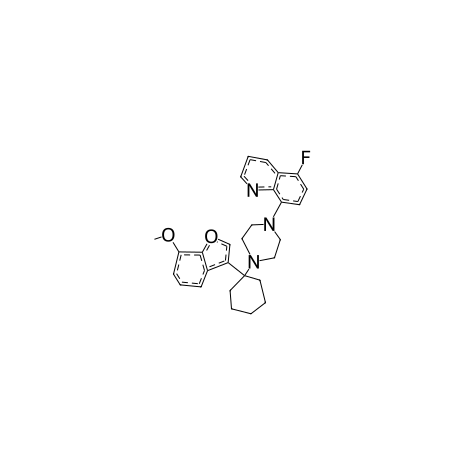 COc1cccc2c(C3(N4CCN(c5ccc(F)c6cccnc56)CC4)CCCCC3)coc12